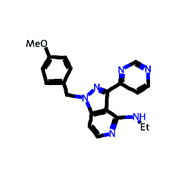 CCNc1nccc2c1c(-c1ccncn1)nn2Cc1ccc(OC)cc1